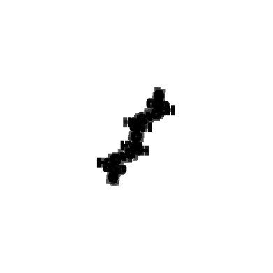 CC(C)(c1ccc(O)c(NC(=O)c2ccc(C(=O)Nc3cc(C(C)(C)c4ccc(O)c(N5C(=O)C6C7C=CC(C7)C6C5=O)c4)ccc3O)cc2)c1)c1ccc(O)c(N2C(=O)C3C4C=CC(C4)C3C2=O)c1